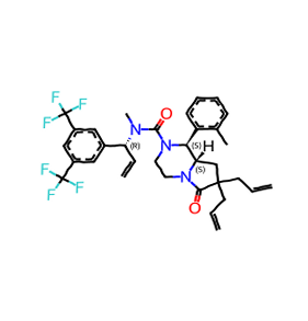 C=CCC1(CC=C)C[C@H]2[C@H](c3ccccc3C)N(C(=O)N(C)[C@H](C=C)c3cc(C(F)(F)F)cc(C(F)(F)F)c3)CCN2C1=O